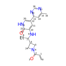 C=CC(=O)N1CC(C(CC)Nc2cc(-c3cc(C)ncn3)c[nH]c2=O)C1